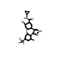 O=C(NC1CC1)c1cc(-c2c[nH]nc2-c2c(F)cc(C(F)(F)F)cc2F)ccc1Cl